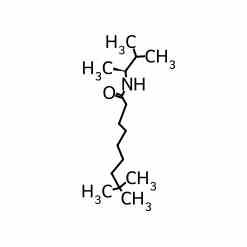 CC(C)[C@H](C)NC(=O)CCCCCCC(C)(C)C